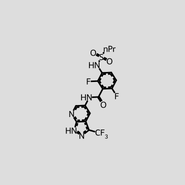 CCCS(=O)(=O)Nc1ccc(F)c(C(=O)Nc2cnc3[nH]nc(C(F)(F)F)c3c2)c1F